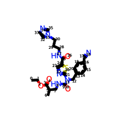 CCOC(=O)C(C)CNC(=O)N(Cc1ccc(C#N)cc1)c1ncc(C(=O)NCCCn2ccnc2)s1